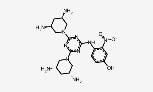 N[C@@H]1C[C@H](N)CN(c2nc(Nc3ccc(O)cc3[N+](=O)[O-])nc(N3C[C@H](N)C[C@H](N)C3)n2)C1